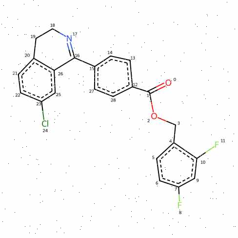 O=C(OCc1ccc(F)cc1F)c1ccc(C2=NCCc3ccc(Cl)cc32)cc1